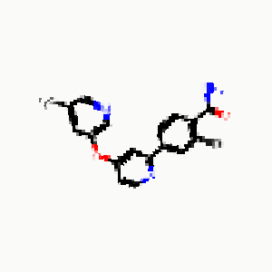 CCc1cc(-c2cc(Oc3cncc(C(F)(F)F)c3)ccn2)ccc1C(N)=O